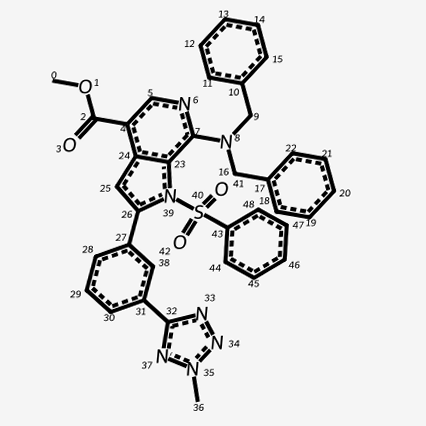 COC(=O)c1cnc(N(Cc2ccccc2)Cc2ccccc2)c2c1cc(-c1cccc(-c3nnn(C)n3)c1)n2S(=O)(=O)c1ccccc1